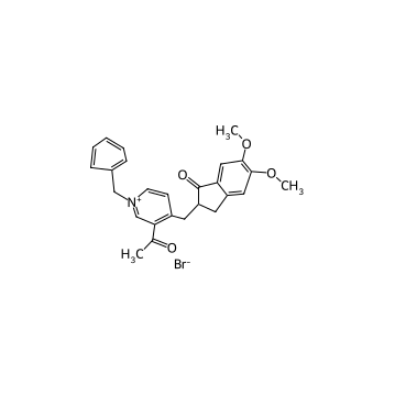 COc1cc2c(cc1OC)C(=O)C(Cc1cc[n+](Cc3ccccc3)cc1C(C)=O)C2.[Br-]